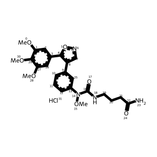 COc1cc(-c2oncc2-c2cccc(N(OC)C(=O)NCCCC(N)=O)c2)cc(OC)c1OC.Cl